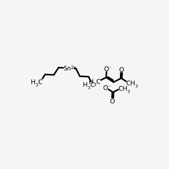 CC(=O)/C=C(/C)[O-].CC(=O)[O-].CCC[CH2][Sn+2][CH2]CCC